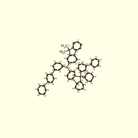 CC1(C)c2ccccc2-c2ccc(N(c3cccc(-c4ccc(-c5ccccc5)cc4)c3)c3ccc4c(c3)C(c3ccccc3)(c3cccc(-c5ccccc5)c3)c3ccccc3-4)cc21